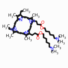 C=CC1=C(C)c2cc3[nH]c(cc4nc(cc5[nH]c(cc1n2)c(C)c5CCC(=O)OCCCCCCN(C)C)C(CCC(=O)OCCCCCCN(C)C)=C4C)c(C)c3C=C